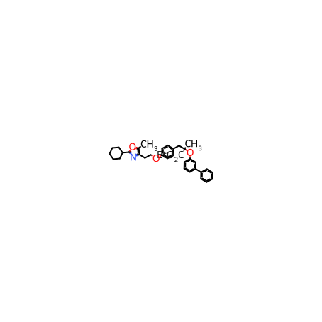 CCOC(=O)C(C)(Cc1ccc(OCCc2nc(C3CCCCC3)oc2C)cc1)Oc1cccc(-c2ccccc2)c1